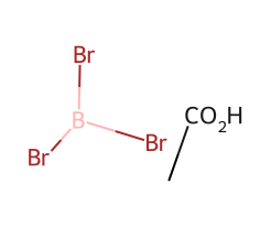 BrB(Br)Br.CC(=O)O